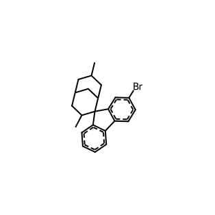 CC1CC2CC(C)C3(c4ccccc4-c4ccc(Br)cc43)C(C1)C2